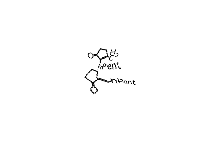 CCCCC/C=C1\CCCC1=O.CCCCCC1=C(C)CCC1=O